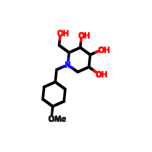 COC1CCC(CN2CC(O)C(O)C(O)C2CO)CC1